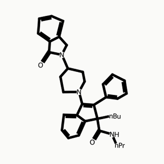 CCCCC1(C(=O)NCCC)C(c2ccccc2)=C(N2CCC(N3Cc4ccccc4C3=O)CC2)c2ccccc21